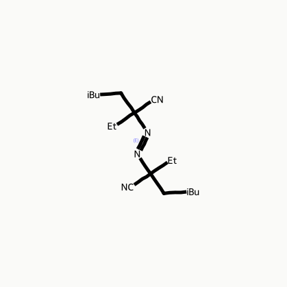 CCC(C)CC(C#N)(CC)/N=N/C(C#N)(CC)CC(C)CC